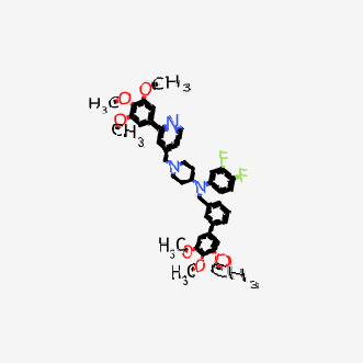 COc1cc(-c2cccc(CN(c3ccc(F)c(F)c3)C3CCN(Cc4ccnc(-c5cc(OC)c(OC)c(OC)c5)c4)CC3)c2)cc(OC)c1OC